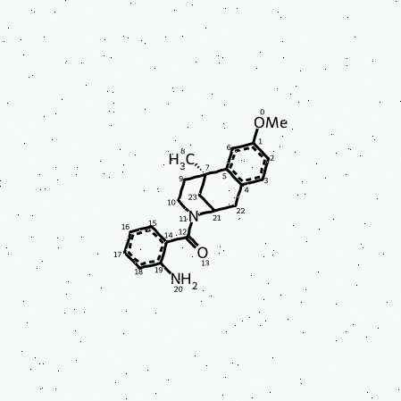 COc1ccc2c(c1)[C@]1(C)CCN(C(=O)c3ccccc3N)C(C2)C1